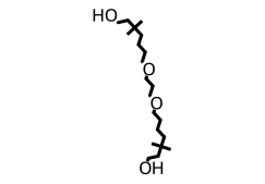 CC(C)(CCO)CCCCOCCCOCCCCC(C)(C)CCO